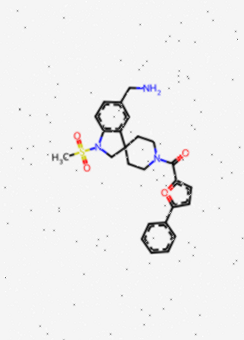 CS(=O)(=O)N1CC2(CCN(C(=O)c3ccc(-c4ccccc4)o3)CC2)c2cc(CN)ccc21